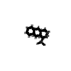 CN(C)c1nncc2cc3ccccc3cc12